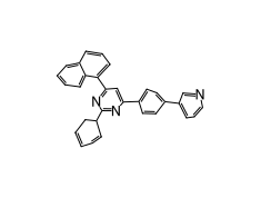 C1=CCC(c2nc(-c3ccc(-c4cccnc4)cc3)cc(-c3cccc4ccccc34)n2)C=C1